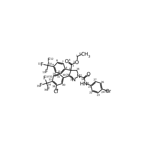 CCOC(=O)C1(c2ccc(C(F)(F)F)cc2)CN(C(=O)Nc2ccc(Br)cc2)N=C1c1ccc(C(F)(F)F)c(Cl)c1